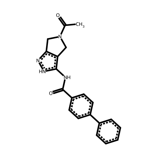 CC(=O)N1Cc2n[nH]c(NC(=O)c3ccc(-c4ccccc4)cc3)c2C1